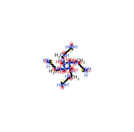 CC(CC(=O)NCC(C(=O)O)N1CCN(C(CNC(=O)CC(C)NC(=O)CCCCC2SCC3NC(=O)NC32)C(=O)O)CCN(C(CNC(=O)CC(C)NC(=O)CCCCC2SCC3NC(=O)NC32)C(=O)O)CCN(C(CNC(=O)CC(C)NC(=O)CCCCC2SCC3NC(=O)NC32)C(=O)O)CC1)NC(=O)CCCCC1SCC2NC(=O)NC21